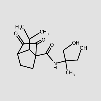 CC(C)C1C2CCC1(C(=O)NC(C)(CO)CO)C(=O)C2=O